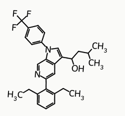 CCc1cccc(CC)c1-c1cc2c(C(O)CC(C)C)cn(-c3ccc(C(F)(F)F)cc3)c2cn1